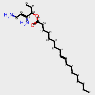 CCCCCCCCC=CCCCCCCCC(=O)OC(CC)C(N)=CCN